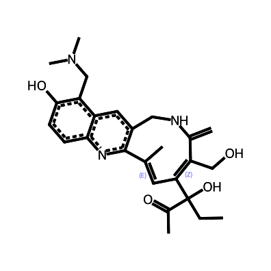 C=C1NCc2cc3c(CN(C)C)c(O)ccc3nc2/C(C)=C/C(C(O)(CC)C(C)=O)=C\1CO